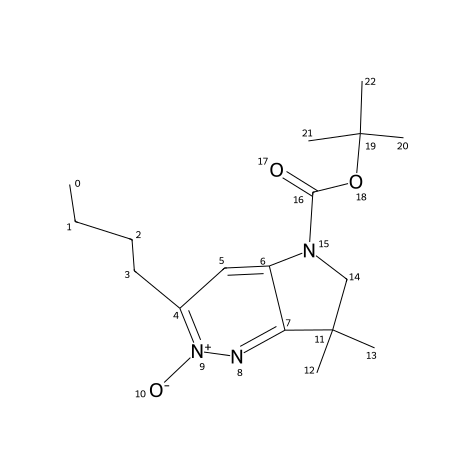 CCCCc1cc2c(n[n+]1[O-])C(C)(C)CN2C(=O)OC(C)(C)C